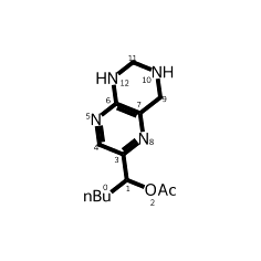 CCCCC(OC(C)=O)c1cnc2c(n1)CNCN2